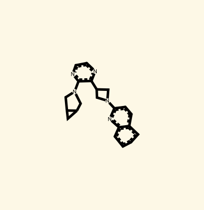 c1ccc2nc(N3CC(c4nccnc4N4CC5CC5C4)C3)ccc2c1